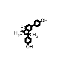 CC1(C)CC(C)(c2ccc(O)cc2)c2cc(-c3ccc(O)cc3)ccc21